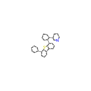 c1ccc(-c2cccc3c2sc2c(-c4ccccc4-c4cccnc4)cccc23)cc1